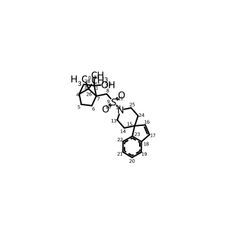 CC1(O)CC2CCC1(CS(=O)(=O)N1CCC3(C=Cc4ccccc43)CC1)C2(C)C